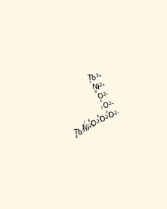 [Ni+2].[Ni+2].[O-2].[O-2].[O-2].[O-2].[O-2].[Tb+3].[Tb+3]